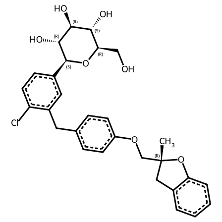 C[C@]1(COc2ccc(Cc3cc([C@@H]4O[C@H](CO)[C@@H](O)[C@H](O)[C@H]4O)ccc3Cl)cc2)Cc2ccccc2O1